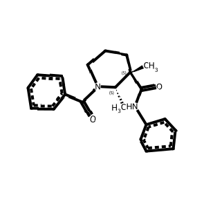 C[C@@H]1N(C(=O)c2ccccc2)CCC[C@]1(C)C(=O)Nc1ccccc1